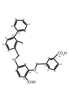 Cc1c(COc2ccc(C=O)c(OCc3cccc(C(=O)O)c3)c2)cccc1-c1ccccc1